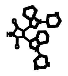 O=C1NC(=O)C(c2cn(-c3cncnc3)c3ccccc23)=C1c1cn(-c2cccnc2)c2ccccc12